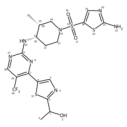 CC(O)c1ncc(-c2nc(N[C@H]3CCN(S(=O)(=O)c4cnc(N)s4)C[C@H]3C)ncc2C(F)(F)F)s1